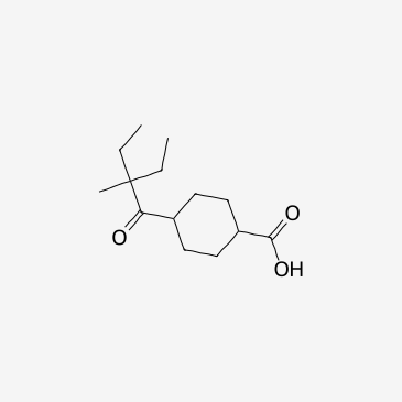 CCC(C)(CC)C(=O)C1CCC(C(=O)O)CC1